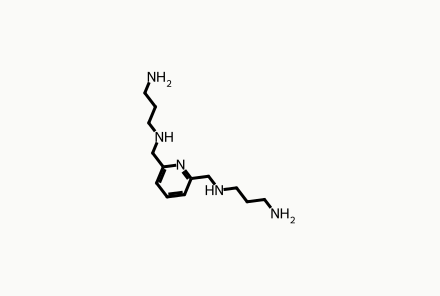 NCCCNCc1cccc(CNCCCN)n1